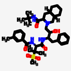 Cc1cccc(C(=O)N[C@H](C(=O)NC(Cc2ccccc2)C(O)CN2C[C@H]3CCCC[C@H]3CC2C(=O)NC(C)(C)C)C(C)(C)S(C)(=O)=O)c1